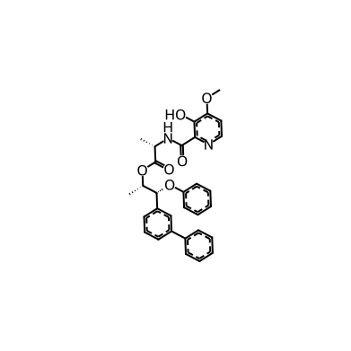 COc1ccnc(C(=O)N[C@@H](C)C(=O)O[C@@H](C)[C@H](Oc2ccccc2)c2cccc(-c3ccccc3)c2)c1O